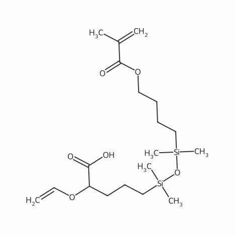 C=COC(CCC[Si](C)(C)O[Si](C)(C)CCCCOC(=O)C(=C)C)C(=O)O